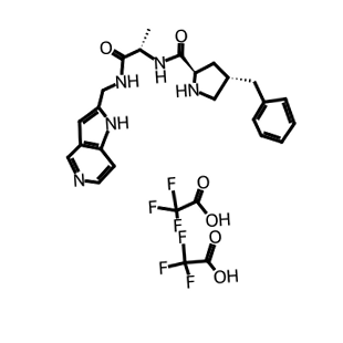 C[C@H](NC(=O)[C@H]1C[C@H](Cc2ccccc2)CN1)C(=O)NCc1cc2cnccc2[nH]1.O=C(O)C(F)(F)F.O=C(O)C(F)(F)F